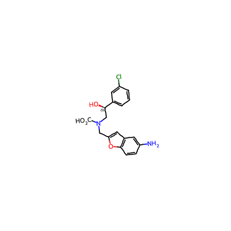 Nc1ccc2oc(CN(C[C@@H](O)c3cccc(Cl)c3)C(=O)O)cc2c1